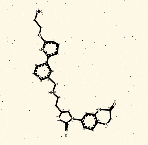 NCCOc1cccc(-c2cccc(CNCCC3CN(c4ccc5c(c4)NC(=O)CS5)C(=O)O3)c2)n1